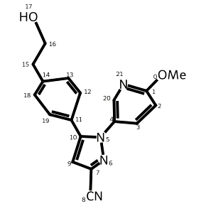 COc1ccc(-n2nc(C#N)cc2-c2ccc(CCO)cc2)cn1